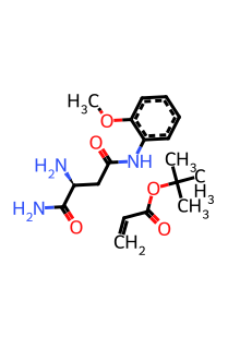 C=CC(=O)OC(C)(C)C.COc1ccccc1NC(=O)C[C@H](N)C(N)=O